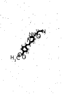 COC(=O)c1ccc(CCc2ccc(NC(=O)CC#N)cn2)cc1